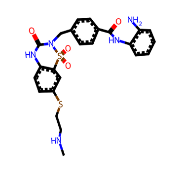 CNCCSc1ccc2c(c1)S(=O)(=O)N(Cc1ccc(C(=O)Nc3ccccc3N)cc1)C(=O)N2